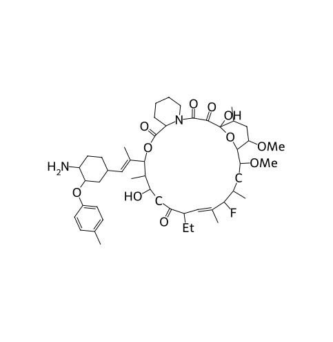 CCC1/C=C(\C)C(F)C(C)CC(OC)C2OC(O)(C(=O)C(=O)N3CCCCC3C(=O)OC(C(C)=CC3CCC(N)C(Oc4ccc(C)cc4)C3)C(C)C(O)CC1=O)C(C)CC2OC